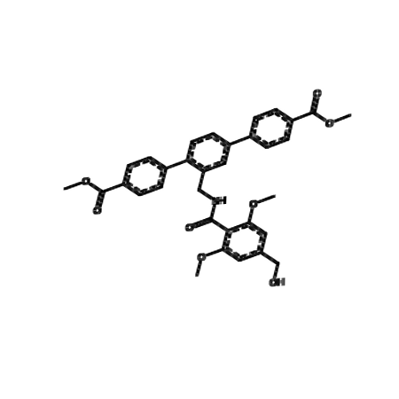 COC(=O)c1ccc(-c2ccc(-c3ccc(C(=O)OC)cc3)c(CNC(=O)c3c(OC)cc(CO)cc3OC)c2)cc1